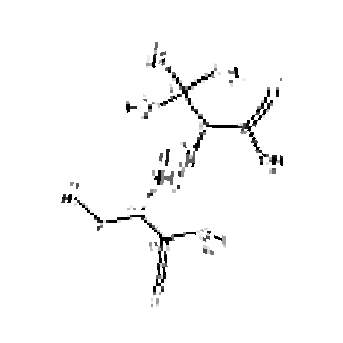 CC(C)(S)[C@H](N)C(=O)O.N[C@@H](CS)C(=O)O